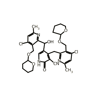 Cc1cc(Cl)c(COC2CCCCO2)c(Cc2c(C(O)c3nc(C)cc(Cl)c3COC3CCCCO3)c[nH]c(=O)c2C#N)n1